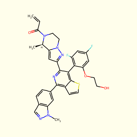 C=CC(=O)N1CCn2nc(-c3nc(-c4ccc5cnn(C)c5c4)c4ccsc4c3-c3c(F)cc(F)cc3OCCO)cc2[C@H]1C